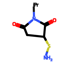 CC(C)N1C(=O)CC(SN)C1=O